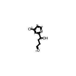 O=CCCC(O)c1cc(Cl)ccn1